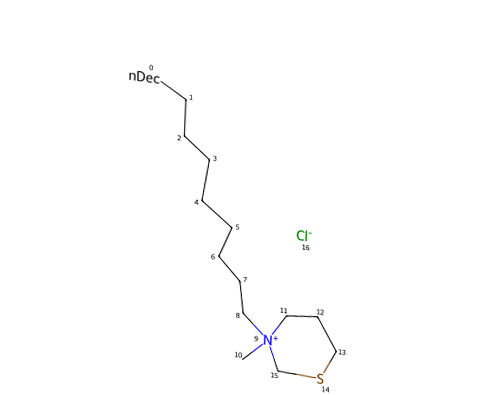 CCCCCCCCCCCCCCCCCC[N+]1(C)CCCSC1.[Cl-]